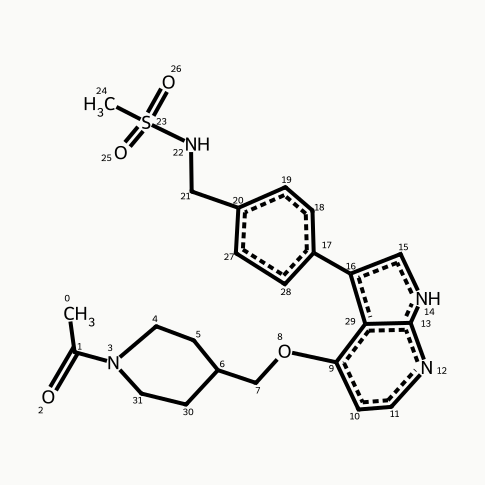 CC(=O)N1CCC(COc2ccnc3[nH]cc(-c4ccc(CNS(C)(=O)=O)cc4)c23)CC1